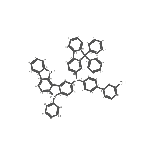 CC1=CC=CC(c2ccc(N(c3ccc4c(c3)C(c3ccccc3)(c3ccccc3)c3ccccc3-4)c3ccc4c(c3)c3c5oc6ccccc6c5ccc3n4-c3ccccc3)cc2)C1